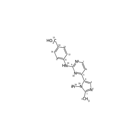 Cc1ncc(-c2ccnc(Nc3ccc(C(=O)O)cc3)n2)n1C(C)C